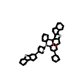 c1ccc(-c2cccc(N(c3ccc(-c4ccc5c(c4)oc4ccccc45)cc3)c3ccccc3-c3cccc4oc5c6ccccc6ccc5c34)c2)cc1